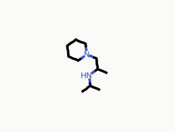 CC(C)NC(C)CN1CCCCC1